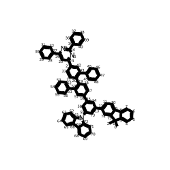 CC1(C)c2ccccc2-c2ccc(-c3cc(-c4ccc(-c5ccc(-c6cc(-c7ccccc7)nc(-c7ccccc7)n6)cc5-c5ccccc5)c(-c5ccccc5)c4)cc(-n4c5ccccc5c5ccccc54)c3)cc21